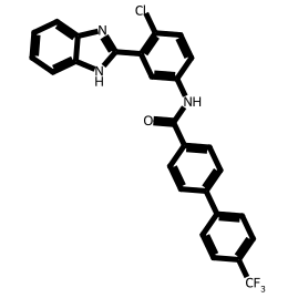 O=C(Nc1ccc(Cl)c(-c2nc3ccccc3[nH]2)c1)c1ccc(-c2ccc(C(F)(F)F)cc2)cc1